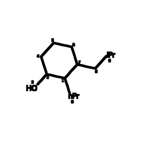 CCCC1C(O)CCCC1CC(C)C